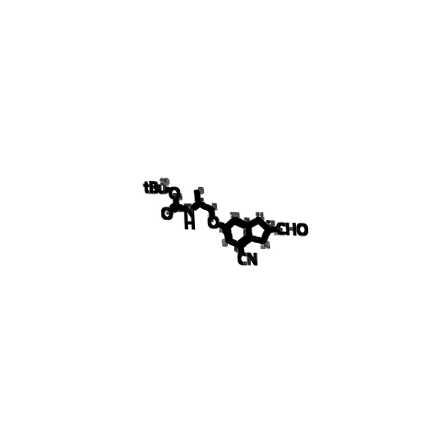 CC(COc1cc(C#N)c2c(c1)CC(C=O)C2)NC(=O)OC(C)(C)C